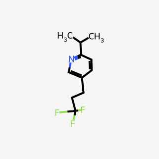 CC(C)c1ccc(CCC(F)(F)F)cn1